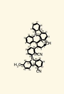 C#C/C=C(\C(=C/C)c1ccccc1-n1c2ccccc2c2ccccc21)c1cccc(-n2c3c(c4c(C#N)cccc42)C=CC(C)C3)c1C#N